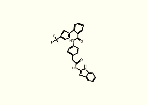 O=C(Cc1ccc(NC(=O)c2ccccc2-c2ccc(C(F)(F)F)cc2)cc1)Nc1nc2ccccc2[nH]1